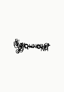 COC(=O)CC(NC(=O)C(F)(F)F)C(=O)N(c1ccc(C#CCNc2ccc(C(=N)NC(=O)OC(C)(C)C)cc2)c(C)c1)C(C)C